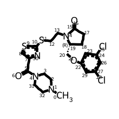 CN1CCN(C(=O)c2csc(SCCN3C(=O)CC[C@@H]3COc3cc(Cl)cc(Cl)c3)n2)CC1